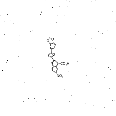 O=C(O)c1cc(-c2ccc(-c3ccc4c(c3)OCO4)o2)nc2ccc([N+](=O)[O-])cc12